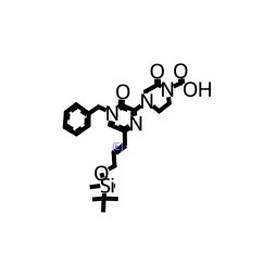 CC(C)(C)[Si](C)(C)OC/C=C/c1cn(Cc2ccccc2)c(=O)c(N2CCN(C(=O)O)C(=O)C2)n1